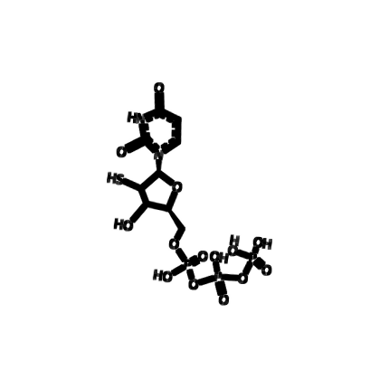 O=c1ccn([C@H]2O[C@@H](COP(=O)(O)OP(=O)(O)OP(=O)(O)O)C(O)C2S)c(=O)[nH]1